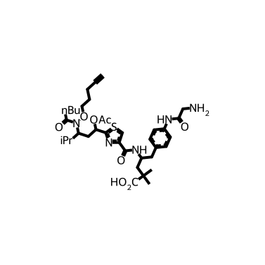 C#CCCCON(C(=O)CCCC)C(CC(OC(C)=O)c1nc(C(=O)NC(Cc2ccc(NC(=O)CN)cc2)CC(C)(C)C(=O)O)cs1)C(C)C